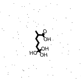 CC(CCCC(O)(O)O)C(=O)O